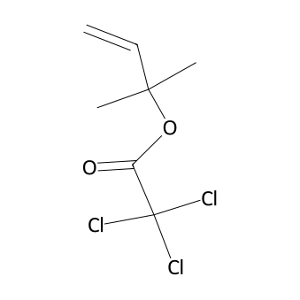 C=CC(C)(C)OC(=O)C(Cl)(Cl)Cl